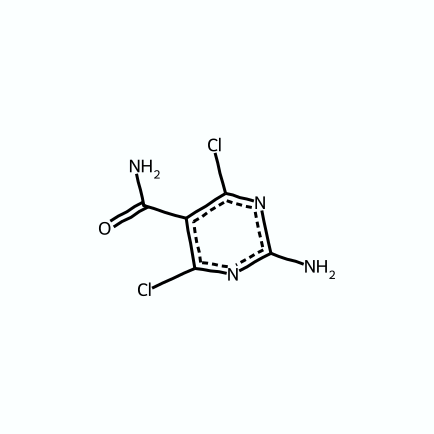 NC(=O)c1c(Cl)nc(N)nc1Cl